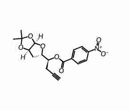 C#CC[C@H](OC(=O)c1ccc([N+](=O)[O-])cc1)[C@@H]1C[C@H]2OC(C)(C)O[C@H]2O1